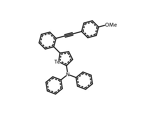 COc1ccc(C#Cc2ccccc2-c2ccc(N(c3ccccc3)c3ccccc3)[te]2)cc1